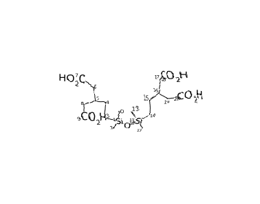 C[Si](C)(CCC(CC(=O)O)CC(=O)O)O[Si](C)(C)CCC(CC(=O)O)CC(=O)O